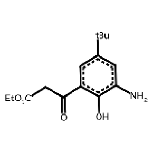 CCOC(=O)CC(=O)c1cc(C(C)(C)C)cc(N)c1O